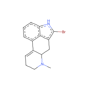 CN1CCC=C2c3cccc4[nH]c(Br)c(c34)CC21